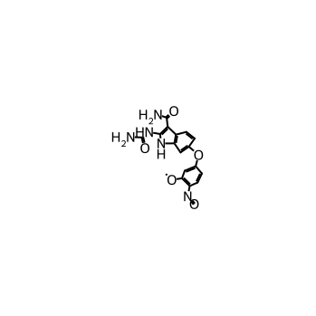 COc1cc(Oc2ccc3c(C(N)=O)c(NC(N)=O)[nH]c3c2)ccc1N=O